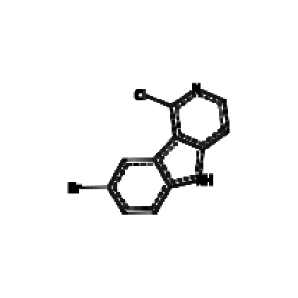 Clc1nccc2[nH]c3ccc(Br)cc3c12